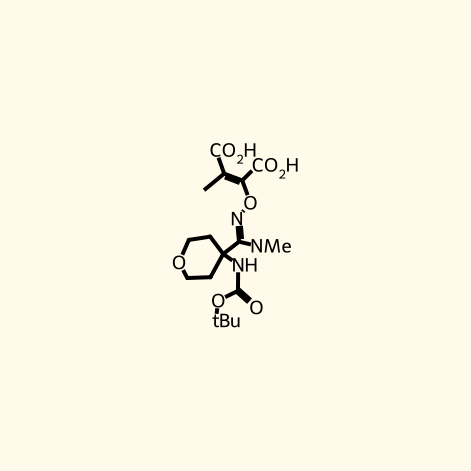 CNC(=NOC(C(=O)O)=C(C)C(=O)O)C1(NC(=O)OC(C)(C)C)CCOCC1